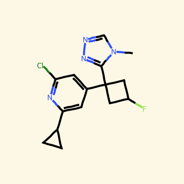 Cn1cnnc1C1(c2cc(Cl)nc(C3CC3)c2)CC(F)C1